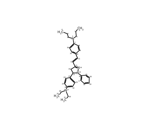 CCCN(CCC)c1ccc(C=CC2=NN(c3ccccc3)C(c3ccc(N(CC)CC)cc3)C2)cc1